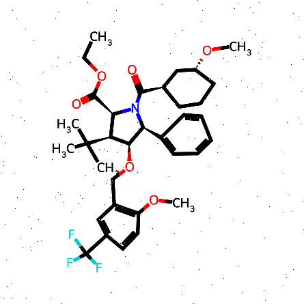 CCOC(=O)[C@@H]1[C@H](C(C)(C)C)[C@H](OCc2cc(C(F)(F)F)ccc2OC)[C@H](c2ccccc2)N1C(=O)[C@@H]1CCC[C@@H](OC)C1